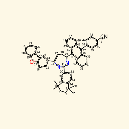 CC1(C)CCC(C)(C)c2cc(C3=NC(c4ccc5oc6ccccc6c5c4)=CCC(c4c5ccccc5c(-c5ccc(C#N)cc5)c5ccccc45)=N3)ccc21